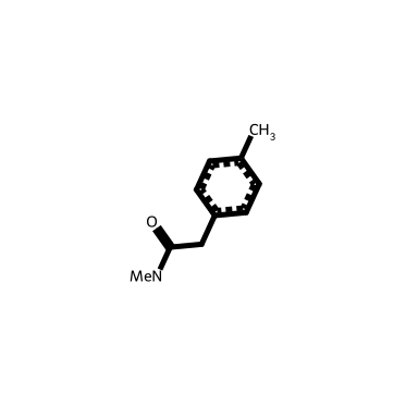 CNC(=O)Cc1ccc(C)cc1